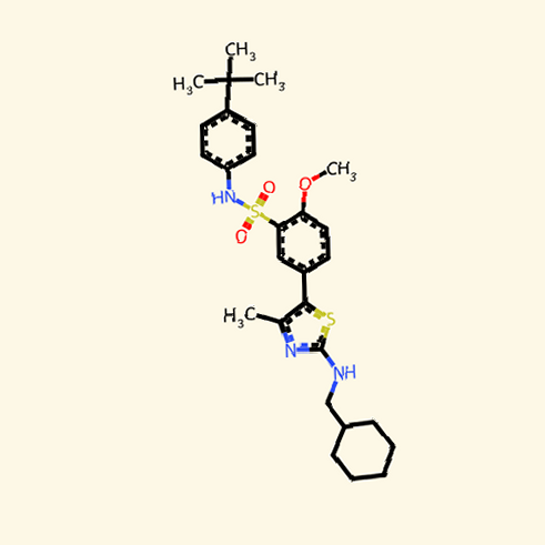 COc1ccc(-c2sc(NCC3CCCCC3)nc2C)cc1S(=O)(=O)Nc1ccc(C(C)(C)C)cc1